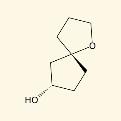 O[C@H]1CC[C@]2(CCCO2)C1